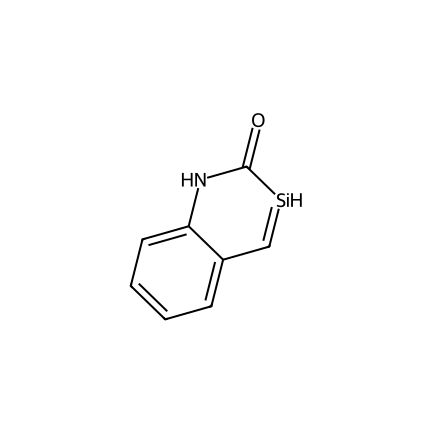 O=c1[nH]c2ccccc2c[siH]1